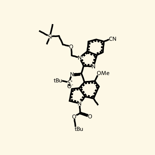 COc1cc(C)c2c(ccn2C(=O)OC(C)(C)C)c1/C(=N\[S+]([O-])C(C)(C)C)c1nc2cc(C#N)ccc2n1COCC[Si](C)(C)C